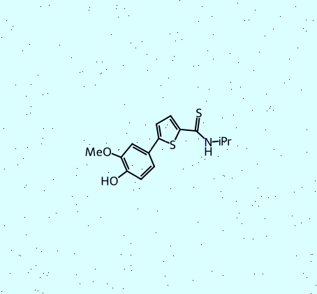 COc1cc(-c2ccc(C(=S)NC(C)C)s2)ccc1O